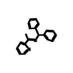 CC(=NC(c1ccccc1)c1ccccc1)c1ccccn1